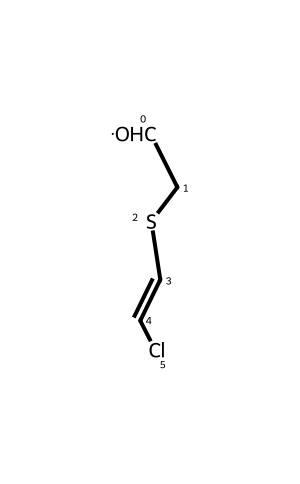 O=[C]CSC=CCl